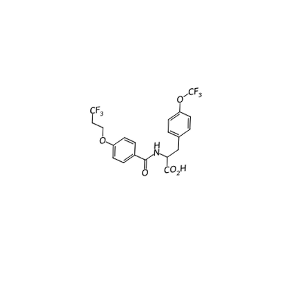 O=C(NC(Cc1ccc(OC(F)(F)F)cc1)C(=O)O)c1ccc(OCCC(F)(F)F)cc1